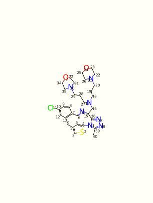 Cc1csc2c1C(c1ccc(Cl)cc1)=NC(CN(CCCN1CCOCC1)CCCN1CCOCC1)c1nnc(C)n1-2